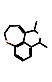 CC(C)C1=CCCSc2cccc(C(C)C)c21